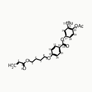 C=CC(=O)OCCCCOc1ccc(C(=O)Oc2ccc(OC(C)=O)c(C(C)(C)C)c2)cc1